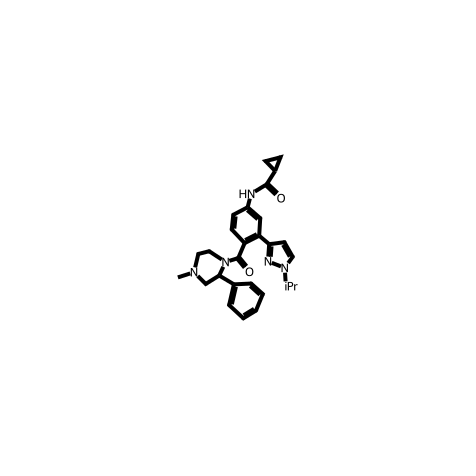 CC(C)n1ccc(-c2cc(NC(=O)C3CC3)ccc2C(=O)N2CCN(C)CC2c2ccccc2)n1